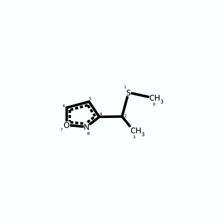 CSC(C)c1ccon1